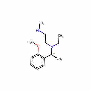 CCN(CCNC)[C@@H](C)c1ccccc1OC